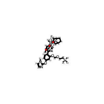 CCCCOC(=O)N1C2CCC1C(F)C(N(C)c1ccc(-c3ccc(Oc4nccn4C)cc3OCOCC[Si](C)(C)C)nn1)C2